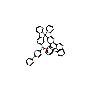 c1ccc(-c2ccc(N(c3ccc(-c4ccccc4)cc3)c3ccc4c(c3)C3(c5ccccc5-4)c4ccccc4-c4cc5c6ccccc6c6ccccc6c5cc43)cc2)cc1